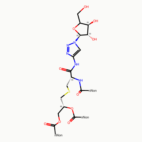 CCCCCCCCCC(=O)N[C@H](CSC[C@@H](COC(=O)CCCCCCCCC)OC(=O)CCCCCCCCC)C(=O)Nc1cn([C@H]2OC(CO)[C@@H](O)[C@@H]2O)nn1